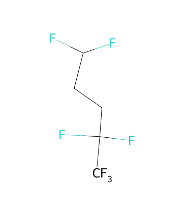 FC(F)CCC(F)(F)C(F)(F)F